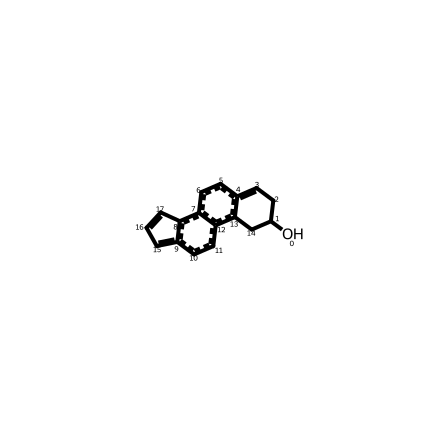 OC1CC=c2ccc3c4c(ccc3c2C1)=CC=C4